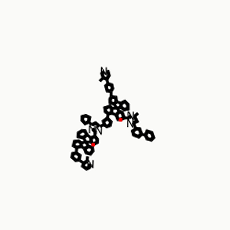 Cc1cc(-c2cccc(-c3ccccc3)c2)nc(-c2ccc3c(c2)C2(c4ccccc4-c4cc(-c5ccc(-c6ccncc6C)cc5)ccc42)c2cccc(-c4cccc(-c5cc(-c6ccccc6)nc(-c6cccc7c6-c6ccccc6C76c7ccccc7-c7c(-c8cccc(-c9cccnc9C)c8)cccc76)n5)c4)c2-3)n1